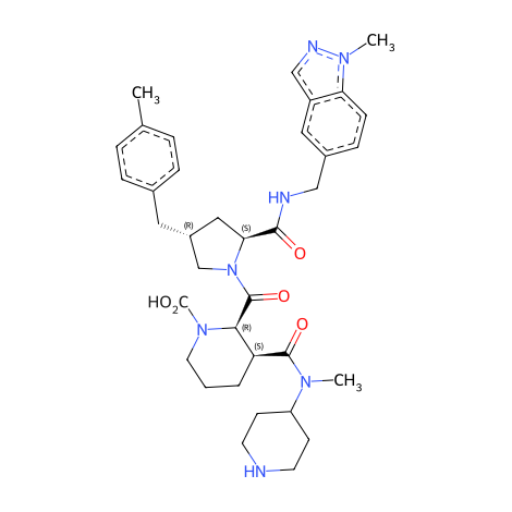 Cc1ccc(C[C@@H]2C[C@@H](C(=O)NCc3ccc4c(cnn4C)c3)N(C(=O)[C@H]3[C@@H](C(=O)N(C)C4CCNCC4)CCCN3C(=O)O)C2)cc1